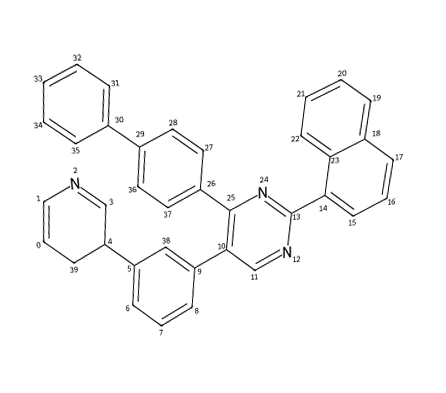 C1=CN=CC(c2cccc(-c3cnc(-c4cccc5ccccc45)nc3-c3ccc(-c4ccccc4)cc3)c2)C1